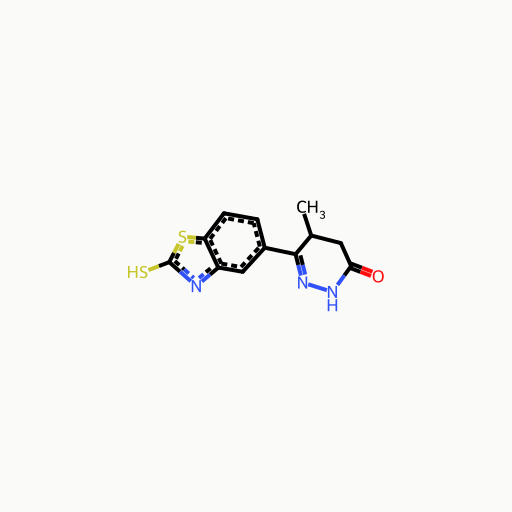 CC1CC(=O)NN=C1c1ccc2sc(S)nc2c1